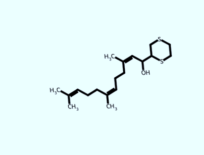 CC(C)=CCCC(C)=CCCC(C)=CC(O)C1CSCCS1